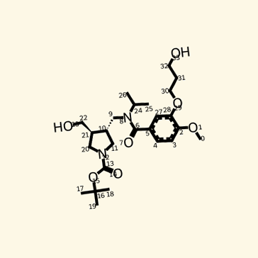 COc1ccc(C(=O)N(C[C@@H]2CN(C(=O)OC(C)(C)C)C[C@H]2CO)C(C)C)cc1OCCCO